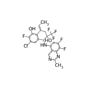 CC=C1CC(O)(C(F)(F)F)C(Nc2cc(F)c(F)c3nc(C)ncc23)c2cc(Cl)c(F)c(O)c21